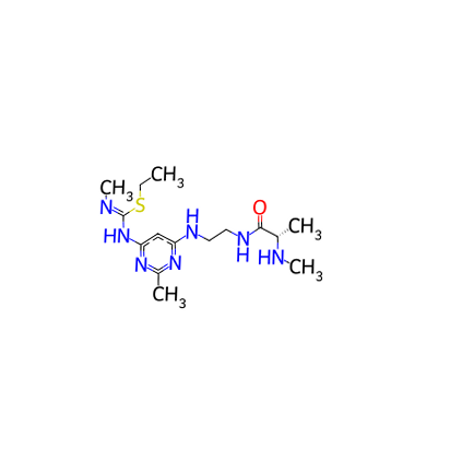 CCS/C(=N\C)Nc1cc(NCCNC(=O)[C@H](C)NC)nc(C)n1